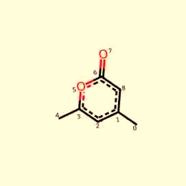 Cc1[c]c(C)oc(=O)c1